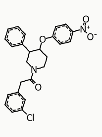 O=C(Cc1cccc(Cl)c1)N1CCC(Oc2ccc([N+](=O)[O-])cc2)C(c2ccccc2)C1